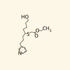 CCOC(=O)CSC(CCCCO)CCCc1cccnc1